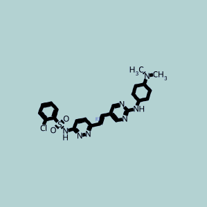 CN(C)C1CCC(Nc2ncc(/C=C/c3ccc(NS(=O)(=O)c4ccccc4Cl)nn3)cn2)CC1